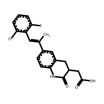 CC(=Cc1c(F)cccc1Cl)c1ccc2c(c1)CC(CC(=O)O)C(=O)N2